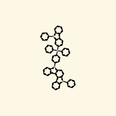 c1ccc(-n2c3ccccc3c3ccc(S(c4ccccc4)(c4ccccc4)c4ccc(-n5c6ccccc6c6c7c8ccccc8n(-c8ccccc8)c7ccc65)cc4)cc32)cc1